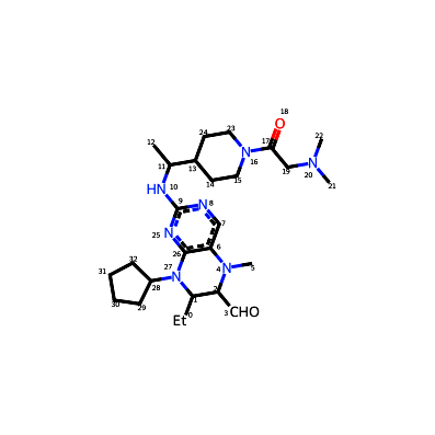 CCC1C(C=O)N(C)c2cnc(NC(C)C3CCN(C(=O)CN(C)C)CC3)nc2N1C1CCCC1